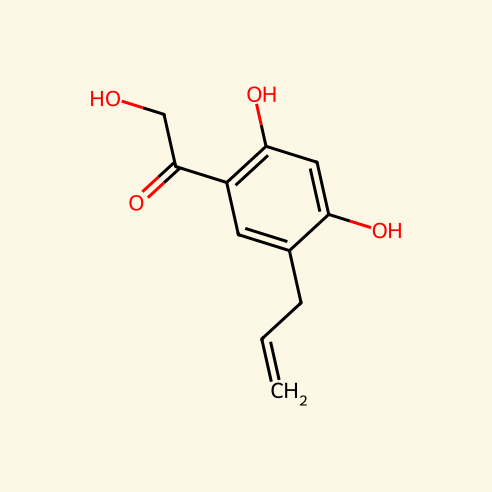 C=CCc1cc(C(=O)CO)c(O)cc1O